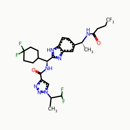 CC(C(F)F)n1cc(C(=O)N[C@H](c2nc3cc([C@@H](C)NC(=O)CCC(F)(F)F)ccc3[nH]2)C2CCC(F)(F)CC2)nn1